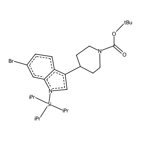 CC(C)[Si](C(C)C)(C(C)C)n1cc(C2CCN(C(=O)OC(C)(C)C)CC2)c2ccc(Br)cc21